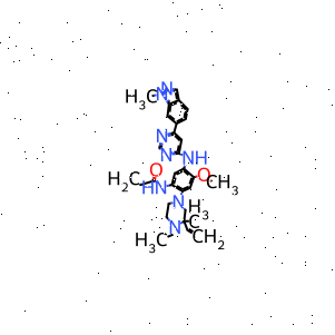 C=CC(=O)Nc1cc(Nc2cc(-c3ccc4cnn(C)c4c3)ncn2)c(OC)cc1N1CCN(CC)C(C)(C=C)C1